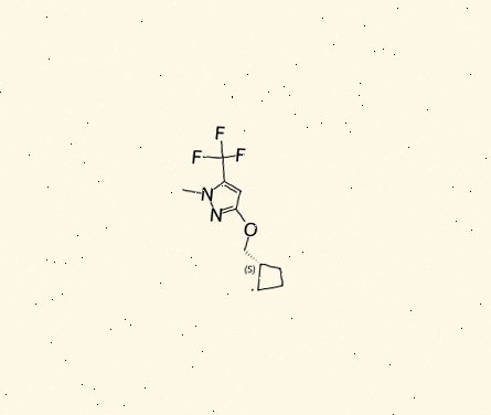 Cn1nc(OC[C@H]2[CH]CC2)cc1C(F)(F)F